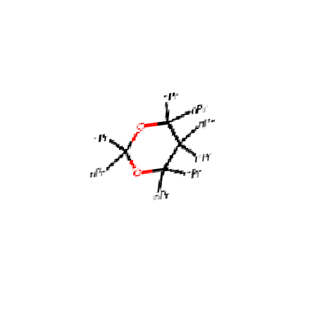 CCCC1(CCC)OC(CCC)(CCC)C(CCC)(CCC)C(CCC)(CCC)O1